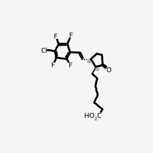 O=C(O)CCCCCC[C@@H]1C(=O)CC[C@H]1C=Cc1c(F)c(F)c(Cl)c(F)c1F